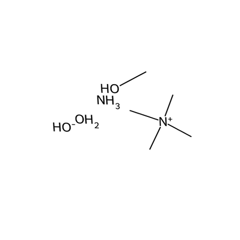 CO.C[N+](C)(C)C.N.O.[OH-]